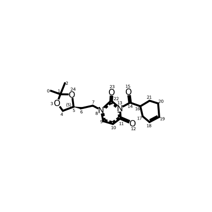 CC1(C)OC[C@H](CCn2ccc(=O)n(C(=O)C3CC=CCC3)c2=O)O1